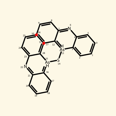 c1ccc2c(c1)N=c1ccccc1=[AsH]2S[AsH]1=c2ccccc2=Nc2ccccc21